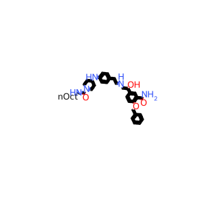 CCCCCCCCNC(=O)N1CCC(Nc2ccc(CCNCC(O)c3ccc(OCc4ccccc4)c(C(N)=O)c3)cc2)CC1